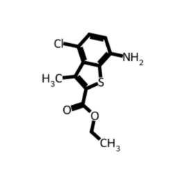 CCOC(=O)c1sc2c(N)ccc(Cl)c2c1C